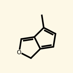 CC1=CC=C2COC=C12